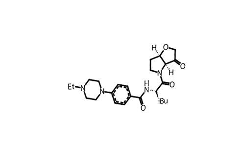 CC[C@H](C)[C@H](NC(=O)c1ccc(N2CCN(CC)CC2)cc1)C(=O)N1CC[C@H]2OCC(=O)[C@H]21